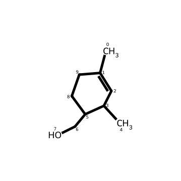 CC1=CC(C)C(CO)CC1